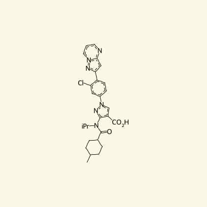 CC1CCC(C(=O)N(c2nn(-c3ccc(-c4cc5ncccn5n4)c(Cl)c3)cc2C(=O)O)C(C)C)CC1